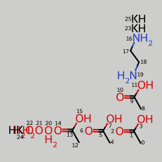 CC(=O)O.CC(=O)O.CC(=O)O.CC(=O)O.NCCN.O.O.O.[KH].[KH].[KH]